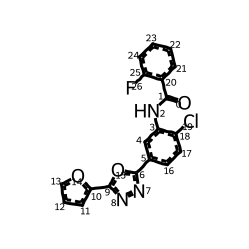 O=C(Nc1cc(-c2nnc(-c3ccco3)o2)ccc1Cl)c1ccccc1F